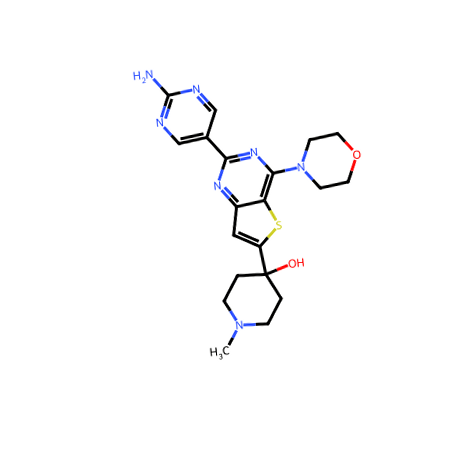 CN1CCC(O)(c2cc3nc(-c4cnc(N)nc4)nc(N4CCOCC4)c3s2)CC1